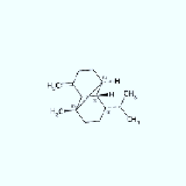 C=C1CC[C@H]2[C@H]3C1[C@@]2(C)CC[C@H]3C(C)C